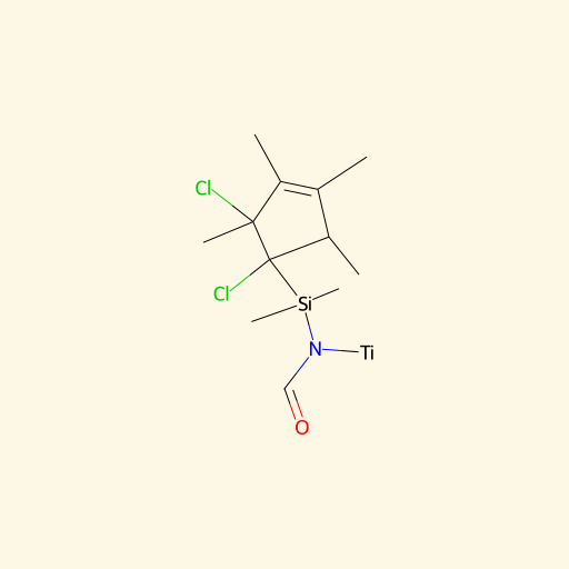 CC1=C(C)C(C)(Cl)C(Cl)([Si](C)(C)[N]([Ti])C=O)C1C